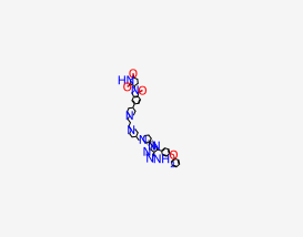 Nc1ncnc2c1c(-c1ccc(Oc3ccccc3)cc1)nn2[C@@H]1CCCN(CC2CCN(CCCN3CCC(c4ccc5c(c4)CN(C4CCC(=O)NC4=O)C5=O)CC3)CC2)C1